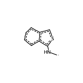 [CH2]Nc1scc2ccccc12